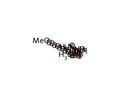 COCCOCCOCCOCCOCCOCCOCCOCCOCC#Cc1cc(NC(=O)[C@H](CCCNC(N)=O)NC(=O)[C@@H](NC(=O)OCC2c3ccccc3-c3ccccc32)C(C)C)ccc1C(O)[Si](C)(C)C(C)(C)C